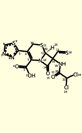 O=C(O)C1=C(c2nncs2)CS[C@@H]2N1C(=O)C2(C=S)NC(=O)C(Cl)Cl